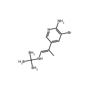 BC(B)(B)N/C=C(\C)c1cnc(N)c(Br)c1